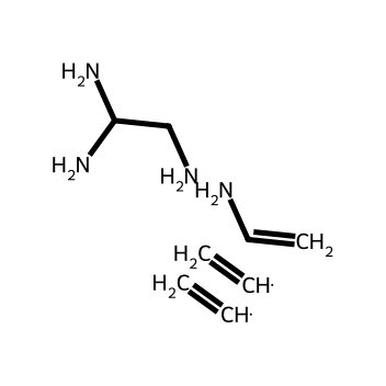 C=CN.NCC(N)N.[CH]=C.[CH]=C